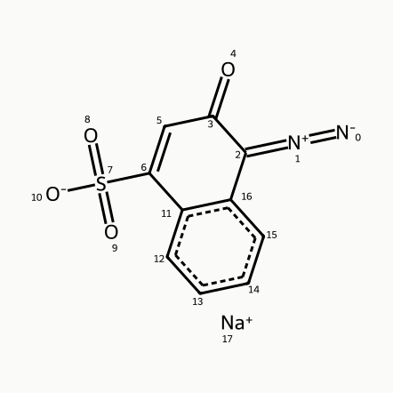 [N-]=[N+]=C1C(=O)C=C(S(=O)(=O)[O-])c2ccccc21.[Na+]